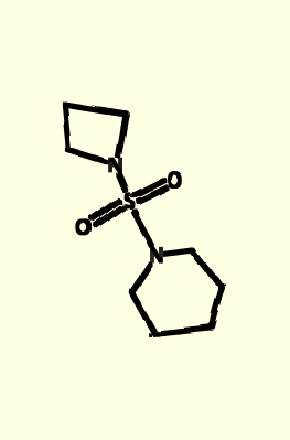 O=S(=O)(N1C[CH]CCC1)N1CCC1